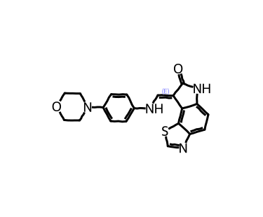 O=C1Nc2ccc3ncsc3c2/C1=C\Nc1ccc(N2CCOCC2)cc1